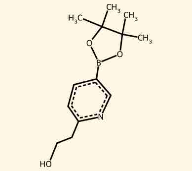 CC1(C)OB(c2ccc(CCO)nc2)OC1(C)C